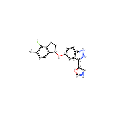 N#Cc1ccc2c(c1F)CCC2Oc1ccc2[nH]nc(-c3cnco3)c2c1